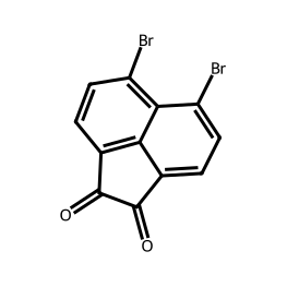 O=C1C(=O)c2ccc(Br)c3c(Br)ccc1c23